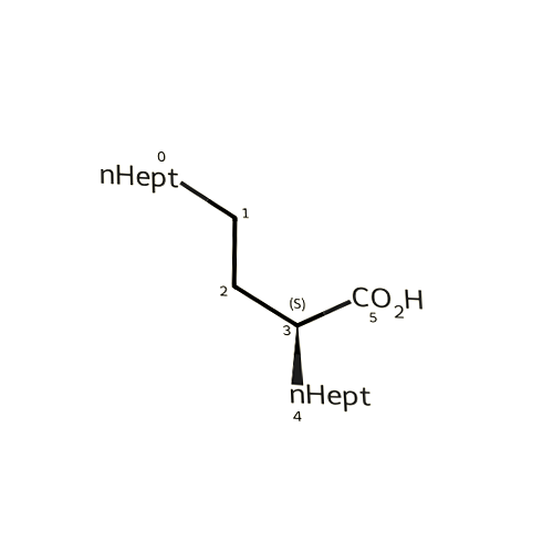 CCCCCCCCC[C@H](CCCCCCC)C(=O)O